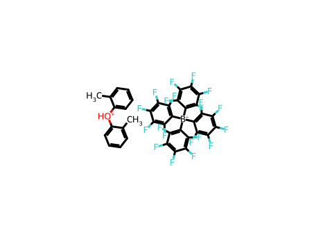 Cc1ccccc1[OH+]c1ccccc1C.Fc1c(F)c(F)c([B-](c2c(F)c(F)c(F)c(F)c2F)(c2c(F)c(F)c(F)c(F)c2F)c2c(F)c(F)c(F)c(F)c2F)c(F)c1F